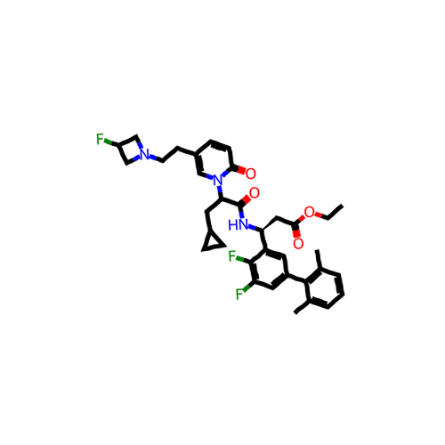 CCOC(=O)C[C@H](NC(=O)C(CC1CC1)n1cc(CCN2CC(F)C2)ccc1=O)c1cc(-c2c(C)cccc2C)cc(F)c1F